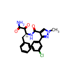 Cn1cc(C(=O)N[C@@H](Cc2ccccc2)C(=O)C(N)=O)c(-c2cccc(Cl)c2)n1